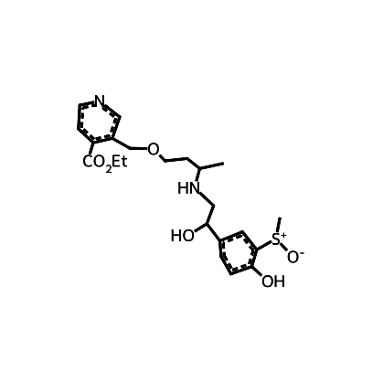 CCOC(=O)c1ccncc1COCCC(C)NCC(O)c1ccc(O)c([S+](C)[O-])c1